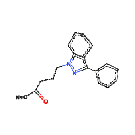 COC(=O)CCCn1nc(-c2ccccc2)c2ccccc21